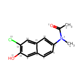 CC(=O)N(C)c1ccc2cc(O)c(Cl)cc2c1